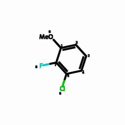 COc1cc[c]c(Cl)c1F